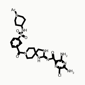 CC(=O)N1CCC(NS(=O)(=O)c2cccc(C(=O)N3CCC4(CC3)CN/C(=N\C(=O)c3nc(Cl)c(N)nc3N)N4)c2)CC1